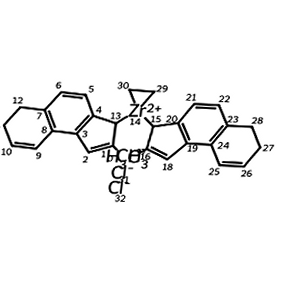 CC1=Cc2c(ccc3c2C=CCC3)[CH]1[Zr+2]1([CH]2C(C)=Cc3c2ccc2c3C=CCC2)[CH2][CH2]1.[Cl-].[Cl-]